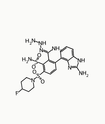 NN/N=C(\N)c1c(-c2cccc3[nH]c(N)nc23)ccc(S(=O)(=O)N2CCC(F)CC2)c1S(N)(=O)=O